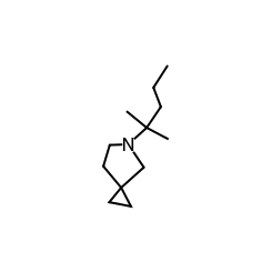 CCCC(C)(C)N1CCC2(CC2)C1